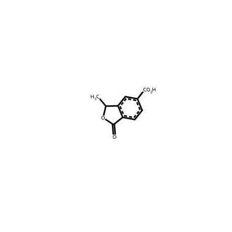 CC1OC(=O)c2ccc(C(=O)O)cc21